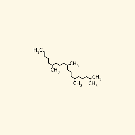 CC=CCCC(C)CCCC(C)CCCC(C)CCCC(C)C